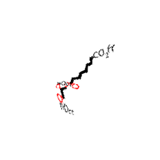 CCCCCCCCOCC(COC(=O)CCCCCCCC(=O)O)OCCCCCCCC